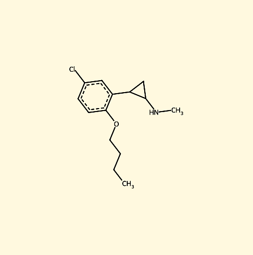 CCCCOc1ccc(Cl)cc1C1CC1NC